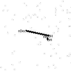 CCCCCCCCCCCCCCCCCCCCCCCCCCCCCC(CO)NCCO